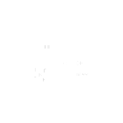 CCCCCCCCCCC(O)COc1ccccc1-c1ccccc1[IH+].F[B-](F)(F)F